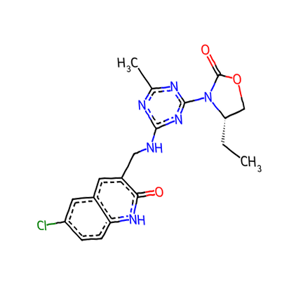 CC[C@H]1COC(=O)N1c1nc(C)nc(NCc2cc3cc(Cl)ccc3[nH]c2=O)n1